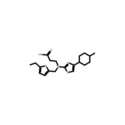 CCc1ccc(CN(CCC(=O)O)c2nc(C3CCC(C)CC3)cs2)s1